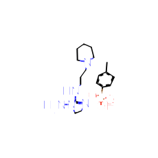 Cc1ccc(S(=O)(=O)O)cc1.NN1CCN=C1NCCCN1CCCCC1